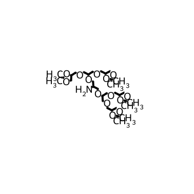 CC1(C)OCC(COCC(COCC2COC(C)(C)O2)OCC(N)COC(COCC2COC(C)(C)O2)COCC2COC(C)(C)O2)O1